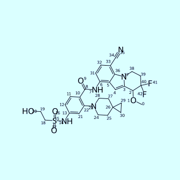 COC1c2cc3c(NC(=O)c4ccc(NS(=O)(=O)CCO)cc4N4CCC5(CC4)CC5)ccc(C#N)c3n2CCC1(F)F